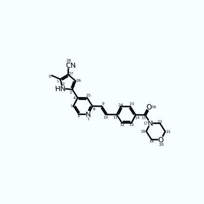 Cc1[nH]c(-c2ccnc(C=Cc3ccc(C(=O)N4CCOCC4)cc3)c2)cc1C#N